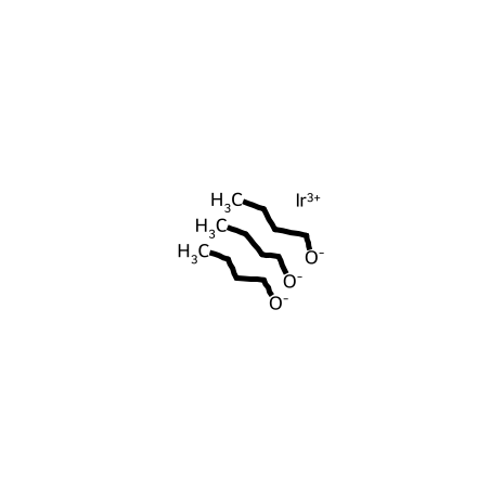 CCCC[O-].CCCC[O-].CCCC[O-].[Ir+3]